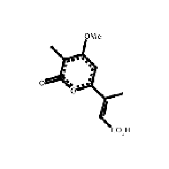 COc1cc(/C(C)=C/C(=O)O)oc(=O)c1C